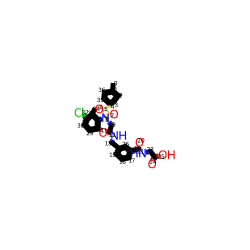 Cc1ccc(S(=O)(=O)N(CC(=O)NCc2cccc(C(=O)NCC(=O)O)c2)c2cccc(Cl)c2C)cc1